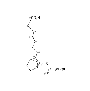 CCCCCCC[S+]([O-])CC1C2CCC(C2)C1CCCCCCC(=O)O